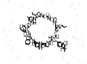 CCCOC[C@H]1C(=O)N(C)CC(=O)N[C@@H](CCc2ccc(C(F)(F)F)c(Cl)c2)C(=O)N2CCC[C@H]2C(=O)NC2(CCCC2)C(=O)N(C)[C@@H](C2CCCCC2)C(=O)N(C)[C@H](C(=O)N2C3CCC2COC3)CC(=O)N(C)[C@@H](CC(C)C)C(=O)N[C@@H]([C@@H](C)CC)C(=O)N(C)CC(=O)N(C)CC(=O)N1C